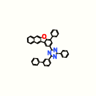 c1ccc(-c2cccc(-c3nc(-c4ccccc4)nc(-c4cc(-c5ccccc5)c5oc6cc7ccccc7cc6c5c4)n3)c2)cc1